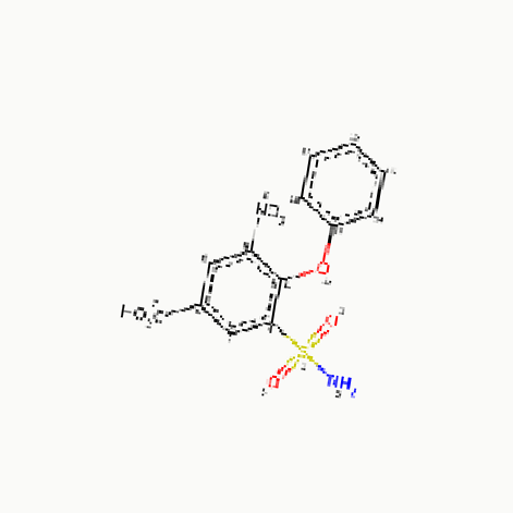 NS(=O)(=O)c1cc(C(=O)O)cc([N+](=O)[O-])c1Oc1ccccc1